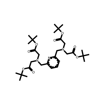 CC(C)(C)OC(=O)CN(CC(=O)OC(C)(C)C)Cc1[c]ccc(CN(CC(=O)OC(C)(C)C)CC(=O)OC(C)(C)C)n1